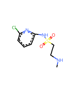 CNCCS(=O)(=O)Nc1cccc(Cl)n1